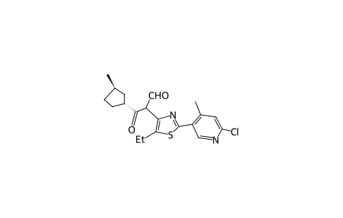 CCc1sc(-c2cnc(Cl)cc2C)nc1C(C=O)C(=O)[C@@H]1CC[C@@H](C)C1